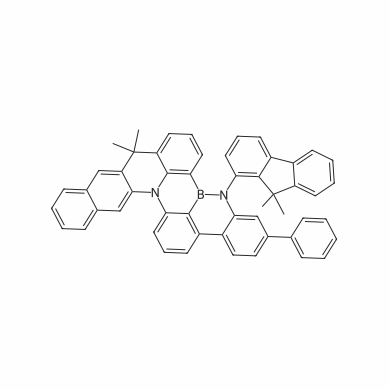 CC1(C)c2cc3ccccc3cc2N2c3cccc4c3B(c3cccc1c32)N(c1cccc2c1C(C)(C)c1ccccc1-2)c1cc(-c2ccccc2)ccc1-4